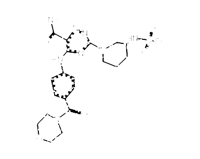 CCS(=O)(=O)N[C@@H]1CCCN(c2nnc(C(N)=O)c(Nc3ccc(C(=O)N4CCOCC4)cc3)n2)C1